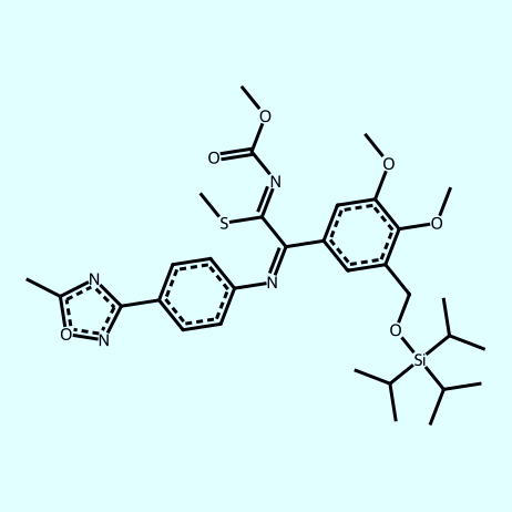 COC(=O)/N=C(SC)/C(=N\c1ccc(-c2noc(C)n2)cc1)c1cc(CO[Si](C(C)C)(C(C)C)C(C)C)c(OC)c(OC)c1